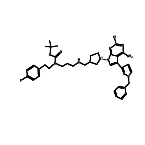 CC(C)(C)OC(=O)N(CCCNCC1CC[C@H](n2cc(-c3ccn(Cc4ccccc4)n3)c3c(N)nc(Cl)nc32)C1)CCc1ccc(F)cc1